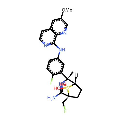 COc1cnc2c(Nc3ccc(F)c([C@@]4(C)N=C(N)[C@@]5(CF)CC[C@@H]4S5(O)O)c3)nccc2c1